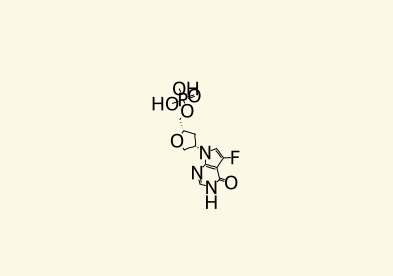 O=c1[nH]cnc2c1c(F)cn2[C@@H]1CO[C@H](COP(=O)(O)O)C1